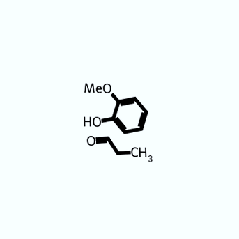 CCC=O.COc1ccccc1O